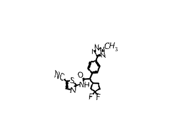 Cn1nnc(-c2ccc(C(C(=O)Nc3ncc(C#N)s3)C3CCC(F)(F)C3)cc2)n1